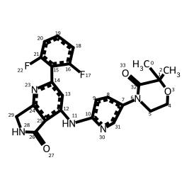 CC1(C)OCCN(c2ccc(Nc3cc(-c4c(F)cccc4F)nc4c3C(=O)NC4)nc2)C1=O